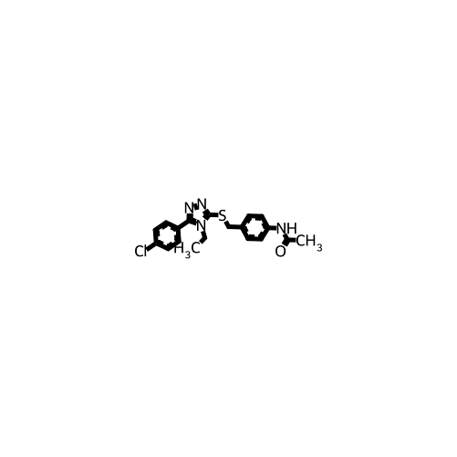 CCn1c(SCc2ccc(NC(C)=O)cc2)nnc1-c1ccc(Cl)cc1